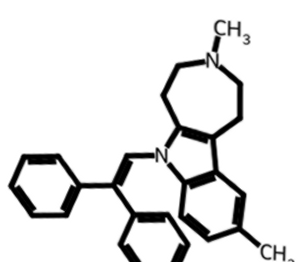 Cc1ccc2c(c1)c1c(n2C=C(c2ccccc2)c2ccccc2)CCN(C)CC1